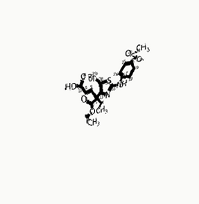 CCOC(=O)C(CC)(CCC(=O)O)c1nc(Nc2ccc(S(C)(=O)=O)cc2)sc1Br